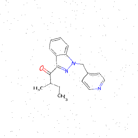 CCC(C)C(=O)c1nn(Cc2ccncc2)c2ccccc12